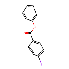 O=C(Oc1ccccc1)c1ccc(I)cc1